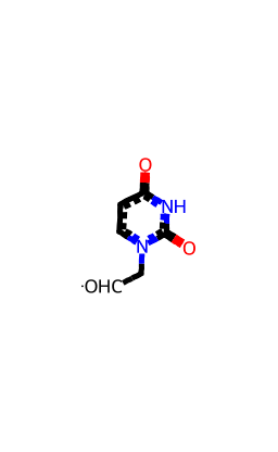 O=[C]Cn1ccc(=O)[nH]c1=O